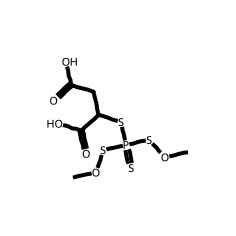 COSP(=S)(SOC)SC(CC(=O)O)C(=O)O